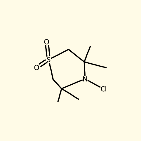 CC1(C)CS(=O)(=O)CC(C)(C)N1Cl